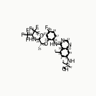 Cc1cc(N[SH](C)(C)=O)cc2ncnc(Nc3ccc(F)cc3O[C@H](C)C(=O)NC(C(F)(F)F)C(F)(F)F)c12